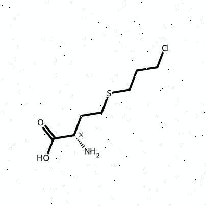 N[C@@H](CCSCCCCl)C(=O)O